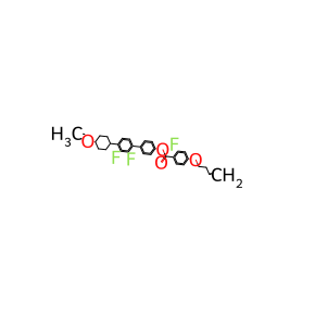 C=CCCOc1ccc(C(=O)Oc2ccc(-c3ccc(C4CCC(OCC)CC4)c(F)c3F)cc2)c(F)c1